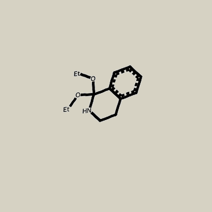 CCOC1(OCC)NCCc2ccccc21